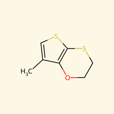 Cc1csc2c1OCCS2